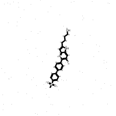 CS(=O)(=O)c1ccc(-c2ccc(-c3nc4cc(CCCCO)[nH]c4cc3F)cc2)cc1